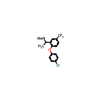 CNC(C)c1cc(C(F)(F)F)ccc1Oc1ccc(Cl)cc1